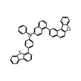 c1ccc(N(c2ccc(-c3cccc4c3sc3ccccc34)cc2)c2ccc3c(-c4ccc5ccc6oc7ccccc7c6c5c4)cccc3c2)cc1